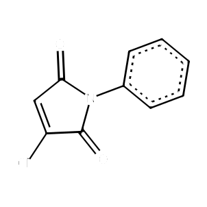 O=C1C=C(Cl)C(=O)N1c1ccccc1